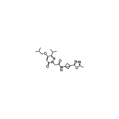 Cc1nnc(C23CC(NC(=O)Cn4nc(C(C)C)c(OCC(C)C)cc4=O)(C2)C3)o1